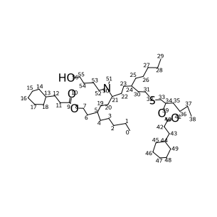 CCCCCC(CCOC(=O)CCC1CCCCC1)CCC(CCC(CCCCC)CCSCC(CCCC)OC(=O)CCC1CCCCC1)N(C)CCCCO